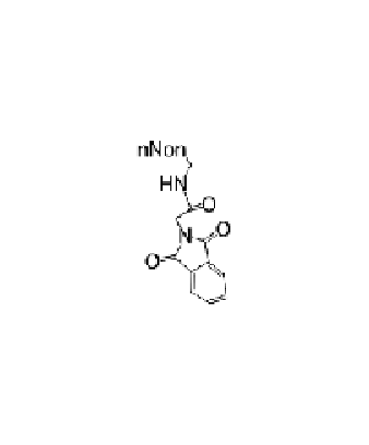 CCCCCCCCCCNC(=O)CN1C(=O)c2ccccc2C1=O